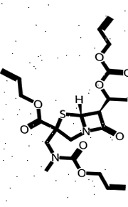 C=CCOC(=O)OC(C)[C@H]1C(=O)N2CC(CN(C)C(=O)OCC=C)(C(=O)OCC=C)S[C@H]12